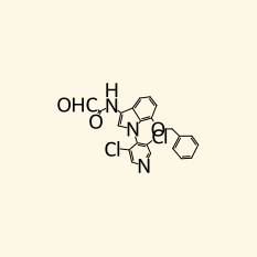 O=CC(=O)Nc1cn(-c2c(Cl)cncc2Cl)c2c(OCc3ccccc3)cccc12